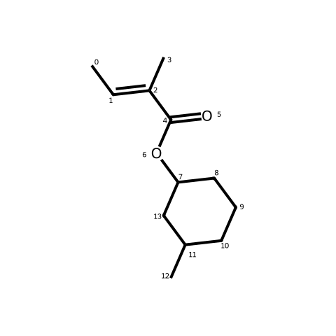 CC=C(C)C(=O)OC1CCCC(C)C1